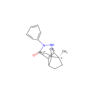 CC1(C)C2CC[C@]1(C)c1[nH]n(-c3ccccc3)c(=O)c12